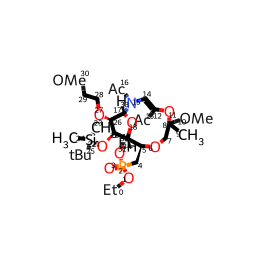 CCOP(=O)(C[C@@H]1OCC(C)(OC)O/C(C(C)=O)=C/N(C(C)=O)[C@@H]2O[C@H]1[C@@H](O[Si](C)(C)C(C)(C)C)[C@H]2OCCOC)OCC